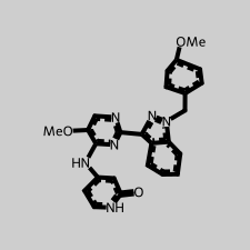 COc1ccc(Cn2nc(-c3ncc(OC)c(Nc4cc[nH]c(=O)c4)n3)c3ccccc32)cc1